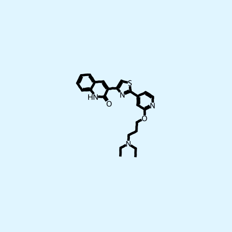 CCN(CC)CCCOc1cc(-c2nc(-c3cc4ccccc4[nH]c3=O)cs2)ccn1